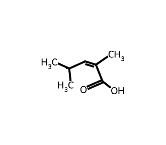 C[C](C)C=C(C)C(=O)O